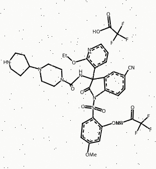 CCOc1ncccc1C1(NC(=O)N2CCN(C3CCNCC3)CC2)C(=O)N(S(=O)(=O)c2ccc(OC)cc2OC)c2ccc(C#N)cc21.O=C(O)C(F)(F)F.O=C(O)C(F)(F)F